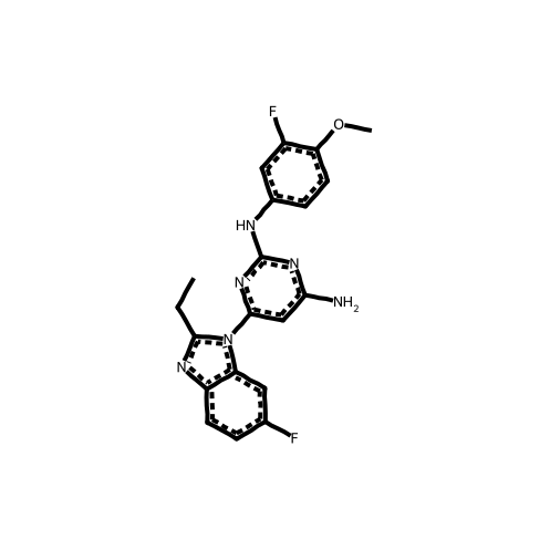 CCc1nc2ccc(F)cc2n1-c1cc(N)nc(Nc2ccc(OC)c(F)c2)n1